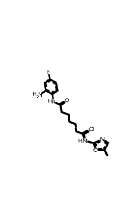 Cc1cnc(NC(=O)CCCCCC(=O)Nc2ccc(F)cc2N)o1